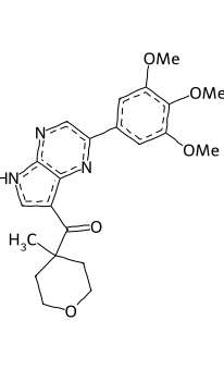 COc1cc(-c2cnc3[nH]cc(C(=O)C4(C)CCOCC4)c3n2)cc(OC)c1OC